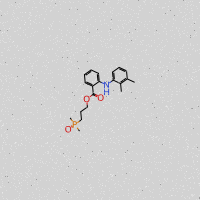 Cc1cccc(Nc2ccccc2C(=O)OCCCP(C)(C)=O)c1C